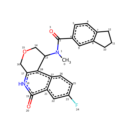 CN(C(=O)c1ccc2c(c1)CCC2)C1COCc2[nH]c(=O)c3cc(F)ccc3c21